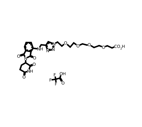 O=C(O)C(F)(F)F.O=C(O)CCOCCOCCOCCOCCn1cc(CNc2cccc3c2C(=O)N(C2CCC(=O)NC2=O)C3=O)nn1